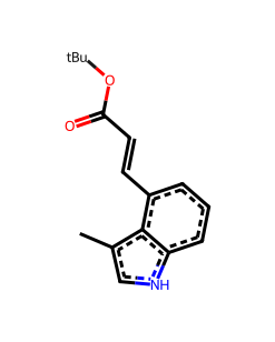 Cc1c[nH]c2cccc(/C=C/C(=O)OC(C)(C)C)c12